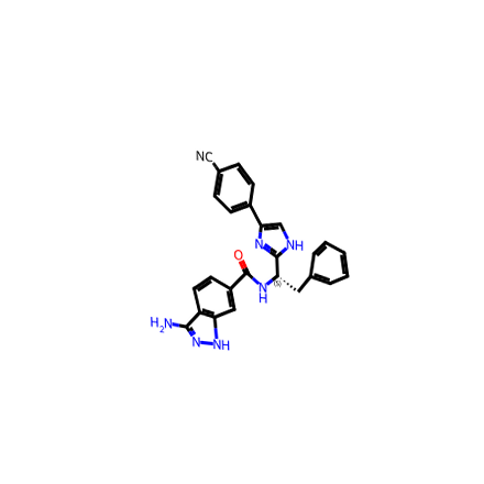 N#Cc1ccc(-c2c[nH]c([C@H](Cc3ccccc3)NC(=O)c3ccc4c(N)n[nH]c4c3)n2)cc1